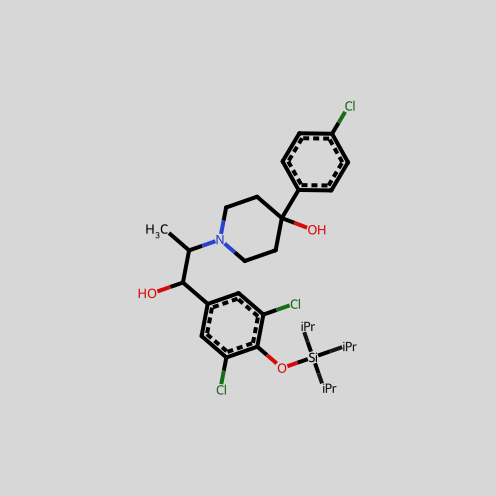 CC(C(O)c1cc(Cl)c(O[Si](C(C)C)(C(C)C)C(C)C)c(Cl)c1)N1CCC(O)(c2ccc(Cl)cc2)CC1